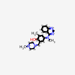 Cc1cc(N(C)c2ncnc3ccccc23)cc(CN2CCN(C)CC2)c1O